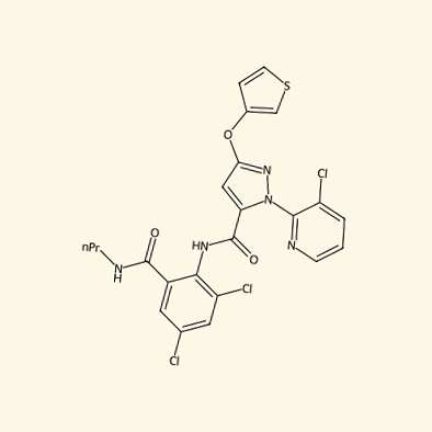 CCCNC(=O)c1cc(Cl)cc(Cl)c1NC(=O)c1cc(Oc2ccsc2)nn1-c1ncccc1Cl